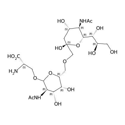 CC(=O)N[C@H]1[C@H]([C@H](O)[C@H](O)CO)O[C@](O)(COC[C@H]2OC(OC[C@H](N)C(=O)O)[C@H](NC(C)=O)[C@@H](O)[C@H]2O)C[C@@H]1O